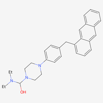 CCN(CC)C(O)N1CCN(c2ccc(Cc3cccc4cc5ccccc5cc34)cc2)CC1